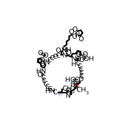 C=C/C1=C\CNCCCCCC(=O)NC(Cc2ccc([SH](=O)=O)s2)C(=O)NCCCCC(C(=O)NCCCCCC(=O)ON2C(=O)CCC2=O)NC(=O)C(Cc2ccc(S(=O)(=O)O)s2)NC(=O)CCCCCOc2cc(C)c(cc2S(=O)(=O)O)-c2cnc1o2